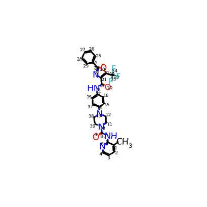 Cc1cccnc1NC(=O)N1CCN(c2ccc(NC(=O)c3nc(-c4ccccc4)oc3C(F)(F)F)cc2)CC1